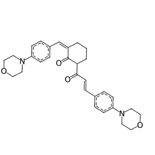 O=C(/C=C/c1ccc(N2CCOCC2)cc1)C1CCC/C(=C/c2ccc(N3CCOCC3)cc2)C1=O